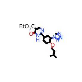 CCOC(=O)c1cnc(-c2ccc(OCC=C(C)C)c(-n3cnnn3)c2)[nH]c1=O